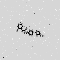 N#Cc1cnn(-c2ccc(NC(=O)Cc3ccccc3F)cc2)c1